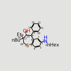 CCCCCCNc1ccc2c(c1)C(c1ccccc1)C(O)C(CC)(CCCC)CS2